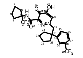 O=C(NC1(C(F)(F)F)CCCC1)c1nn(CC2(c3cccc(C(F)(F)F)c3)CCCC2)cc(O)c1=O